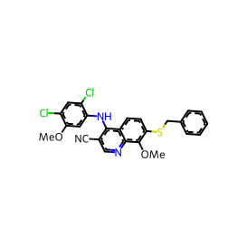 COc1cc(Nc2c(C#N)cnc3c(OC)c(SCc4ccccc4)ccc23)c(Cl)cc1Cl